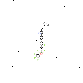 CCCCCc1ccc(-c2ccc(-c3ccc(-c4cc(F)c(C(F)(F)Oc5cc(F)c(F)c(F)c5)c(F)c4)c(F)c3)cc2)nc1